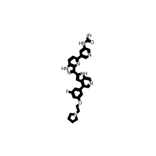 CC(C)C(=O)Nc1cncc(-c2ccc3[nH]nc(-c4cc5c(-c6cc(F)cc(OCCN7CCCC7)c6)cncc5[nH]4)c3n2)c1